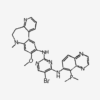 COc1cc2c(cc1Nc1ncc(Br)c(Nc3ccc4nccnc4c3P(C)C)n1)-c1cccnc1CCN2C